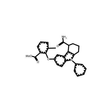 COC(=O)c1cccc(C)c1Oc1ccc2c(c1)c1c(n2-c2ccccc2)CCCC1C(N)=O